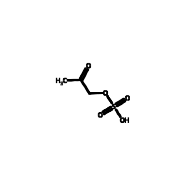 CC(=O)COS(=O)(=O)O